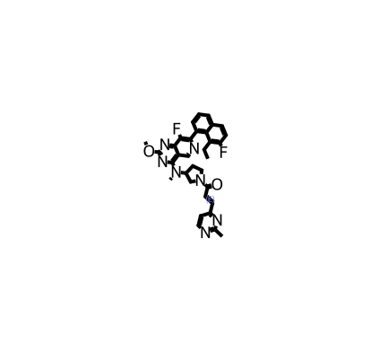 CCc1c(F)ccc2cccc(-c3ncc4c(N(C)C5CCN(C(=O)/C=C/c6ccnc(C)n6)C5)nc(OC)nc4c3F)c12